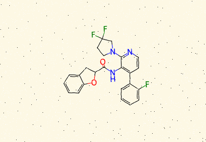 O=C(Nc1c(-c2ccccc2F)ccnc1N1CCC(F)(F)C1)C1Cc2ccccc2O1